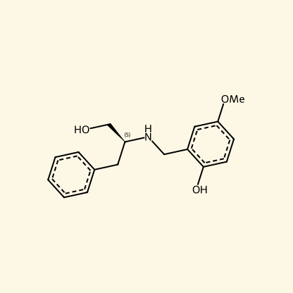 COc1ccc(O)c(CN[C@H](CO)Cc2ccccc2)c1